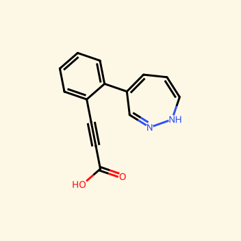 O=C(O)C#Cc1ccccc1C1=CC=CNN=C1